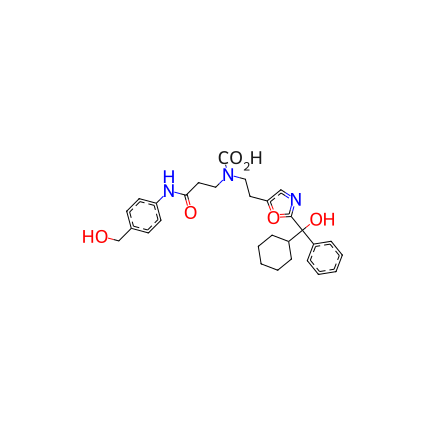 O=C(CCN(CCc1cnc(C(O)(c2ccccc2)C2CCCCC2)o1)C(=O)O)Nc1ccc(CO)cc1